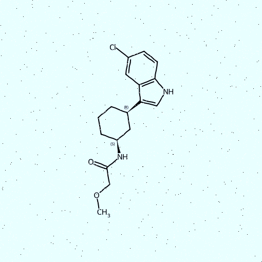 COCC(=O)N[C@H]1CCC[C@@H](c2c[nH]c3ccc(Cl)cc23)C1